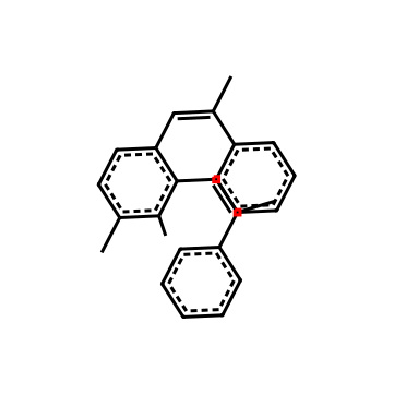 CC(=Cc1ccc(C)c(C)c1C=C(C)c1ccccc1)c1ccccc1